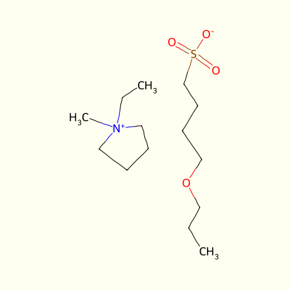 CCCOCCCCS(=O)(=O)[O-].CC[N+]1(C)CCCC1